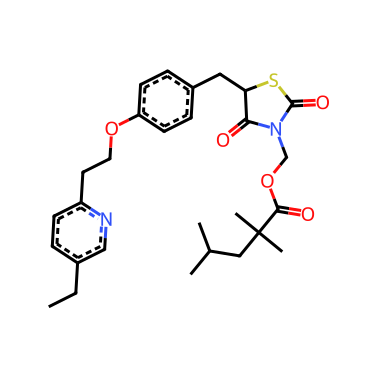 CCc1ccc(CCOc2ccc(CC3SC(=O)N(COC(=O)C(C)(C)CC(C)C)C3=O)cc2)nc1